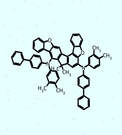 Cc1ccc(N(c2ccc(-c3ccccc3)cc2)c2cc3c(c4c2oc2ccccc24)-c2cc4oc5ccccc5c4c(N(c4ccc(-c5ccccc5)cc4)c4ccc(C)c(C)c4)c2C3(C)C)cc1C